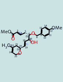 COC(=O)/C=C/C[C@H](OCc1ccc(OC)cc1)[C@@H](O)/C=C/[C@@H]1CC(C)=CCO1